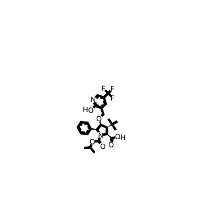 CC(C)OC(=O)N1[C@H](C(=O)O)[C@@H](C(C)(C)C)[C@H](OCc2cc(C(F)(F)F)cnc2O)[C@@H]1c1ccccc1